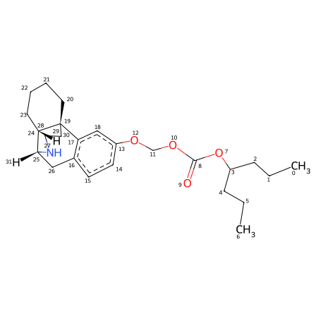 CCCC(CCC)OC(=O)OCOc1ccc2c(c1)[C@@]13CCCC[C@H]1[C@@H](C2)NCC3